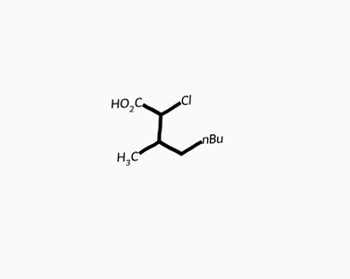 CCCCCC(C)C(Cl)C(=O)O